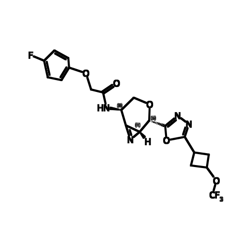 O=C(COc1ccc(F)cc1)N[C@H]1CO[C@H](c2nnc(C3CC(OC(F)(F)F)C3)o2)[C@@H]2N=C12